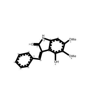 COc1cc2c(c(O)c1OC)C(=Cc1ccccc1)C(=O)N2